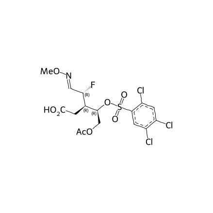 CON=C[C@H](F)[C@H](CC(=O)O)[C@H](COC(C)=O)OS(=O)(=O)c1cc(Cl)c(Cl)cc1Cl